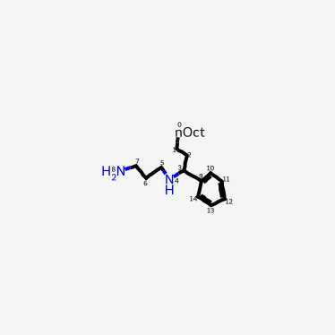 CCCCCCCCCCC(NCCCN)c1ccccc1